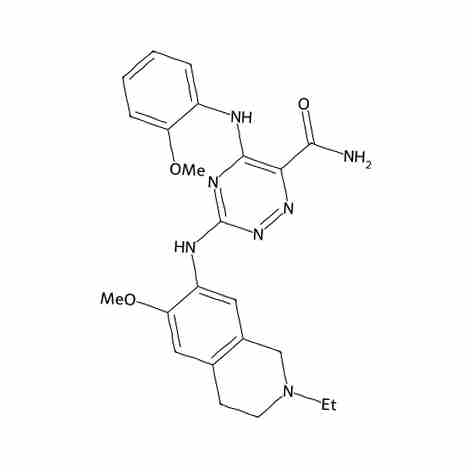 CCN1CCc2cc(OC)c(Nc3nnc(C(N)=O)c(Nc4ccccc4OC)n3)cc2C1